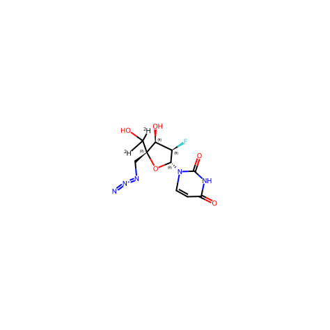 [2H]C([2H])(O)[C@@]1(CN=[N+]=[N-])O[C@@H](n2ccc(=O)[nH]c2=O)[C@H](F)[C@@H]1O